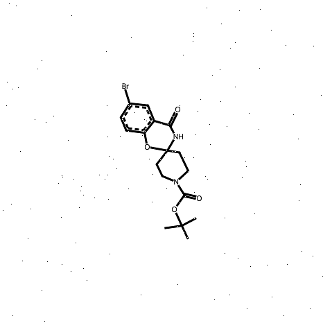 CC(C)(C)OC(=O)N1CCC2(CC1)NC(=O)c1cc(Br)ccc1O2